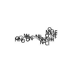 C[C@@H]1CN(c2ncc(Cl)c(Nc3ccc4c(c3)c3c(c(=O)n4C)OCC(F)(F)[C@H](C4CC4)N3)n2)CCN1CC1CCN(c2cccc3c(C4CCC(=O)NC4=O)nn(C)c23)CC1